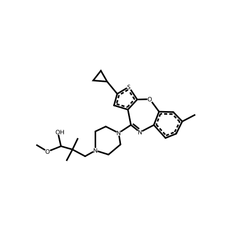 COC(O)C(C)(C)CN1CCN(C2=Nc3ccc(C)cc3Oc3sc(C4CC4)cc32)CC1